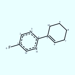 Fc1cnc(C2=CCCCC2)nc1